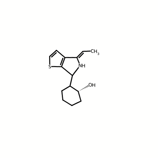 C/C=C1\NC(C2CCCC[C@H]2O)c2sccc21